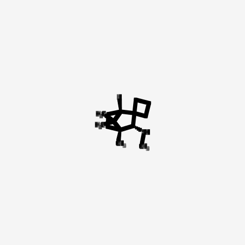 CN[C@H]1C2(CCC2)[C@H]2CC[C@]1(C)C2(C)C